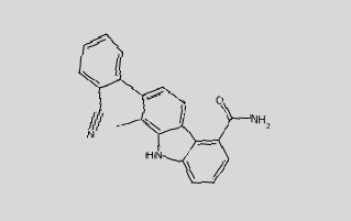 Cc1c(-c2ccccc2C#N)ccc2c1[nH]c1cccc(C(N)=O)c12